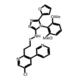 COc1cccc(OC)c1-n1c(NSCCc2ncc(Cl)cc2-c2cccnc2)nnc1-c1ccco1